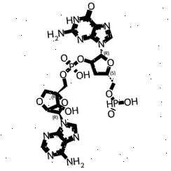 Nc1nc2c(ncn2[C@@H]2O[C@H](CO[PH](=O)O)CC2OP(=O)(O)OC[C@]23COC(C2O)[C@H](n2cnc4c(N)ncnc42)O3)c(=O)[nH]1